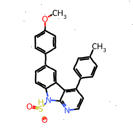 COc1ccc(-c2ccc3c(c2)c2c(-c4ccc(C)cc4)ccnc2n3[SH](=O)=O)cc1